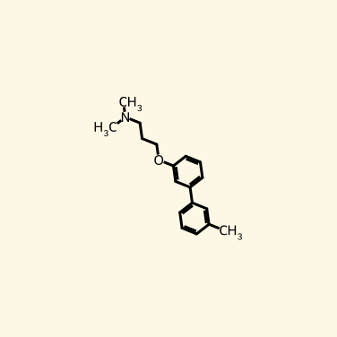 Cc1cccc(-c2cccc(OCCCN(C)C)c2)c1